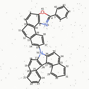 c1ccc(-c2nc3c(ccc4ccc5cc(-n6c7ccc8ccccc8c7c7c8ccccc8ccc76)ccc5c43)o2)cc1